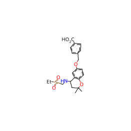 CCS(=O)(=O)CNC1CC(C)(C)Oc2ccc(OCc3ccc(C(=O)O)cc3)cc21